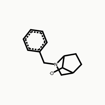 [O]C1C2CCC1N(Cc1ccccc1)C2